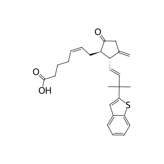 C=C1CC(=O)[C@H](C/C=C\CCCC(=O)O)[C@H]1/C=C/C(C)(C)c1cc2ccccc2s1